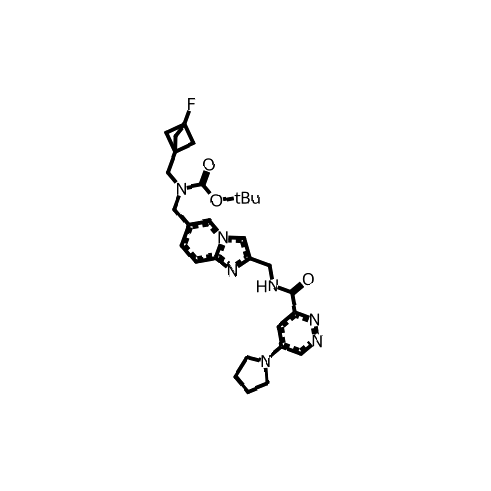 CC(C)(C)OC(=O)N(Cc1ccc2nc(CNC(=O)c3cc(N4CCCC4)cnn3)cn2c1)CC12CC(F)(C1)C2